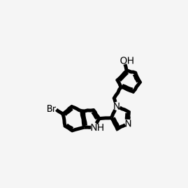 Oc1cccc(Cn2cncc2-c2cc3cc(Br)ccc3[nH]2)c1